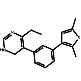 CCC1=C(c2cccc(-c3cc(C)sc3C)c2)CNC=N1